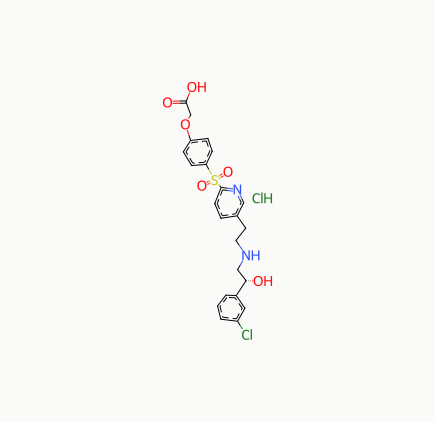 Cl.O=C(O)COc1ccc(S(=O)(=O)c2ccc(CCNC[C@H](O)c3cccc(Cl)c3)cn2)cc1